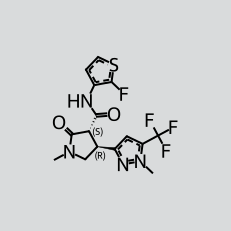 CN1C[C@H](c2cc(C(F)(F)F)n(C)n2)[C@@H](C(=O)Nc2ccsc2F)C1=O